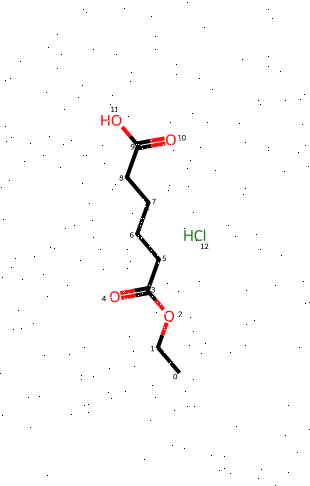 CCOC(=O)CCCCC(=O)O.Cl